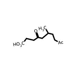 CC(=O)CCC(C)CC(=O)CCC(=O)O